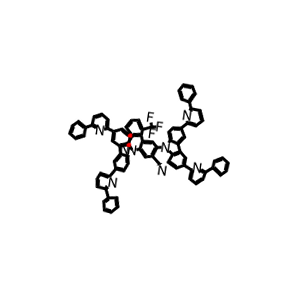 N#Cc1cc(-n2c3ccc(-c4cccc(-c5ccccc5)n4)cc3c3cc(-c4cccc(-c5ccccc5)n4)ccc32)c(-c2c(C#N)cccc2C(F)(F)F)cc1-n1c2ccc(-c3cccc(-c4ccccc4)n3)cc2c2cc(-c3cccc(-c4ccccc4)n3)ccc21